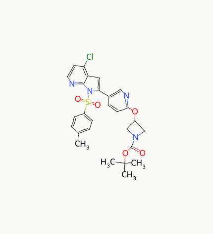 Cc1ccc(S(=O)(=O)n2c(-c3ccc(OC4CN(C(=O)OC(C)(C)C)C4)nc3)cc3c(Cl)ccnc32)cc1